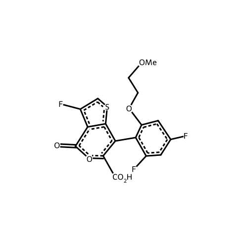 COCCOc1cc(F)cc(F)c1-c1c(C(=O)O)oc(=O)c2c(F)csc12